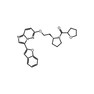 O=C(C1CCCO1)N1CCC[C@H]1CCOc1ccc2ncc(-c3cc4ccccc4o3)n2n1